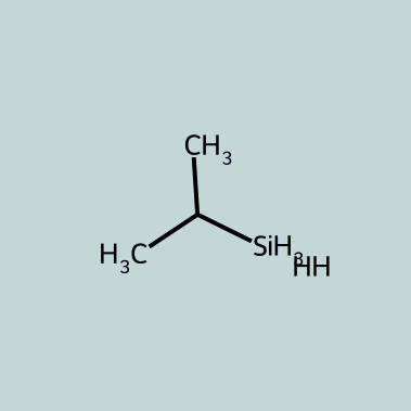 CC(C)[SiH3].[HH]